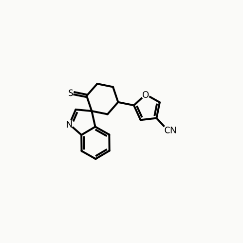 N#Cc1coc(C2CCC(=S)C3(C=Nc4ccccc43)C2)c1